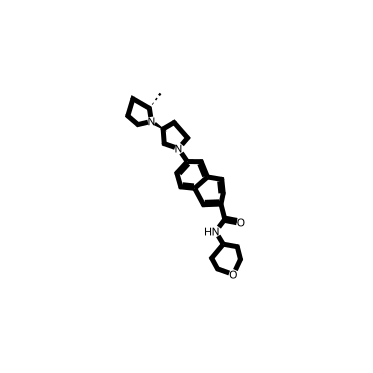 C[C@H]1CCCN1[C@H]1CCN(c2ccc3cc(C(=O)NC4CCOCC4)ccc3c2)C1